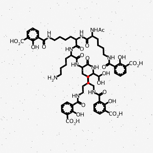 CC(=O)NC(CCCCNC(=O)c1cccc(C(=O)O)c1O)C(=O)NC(CCCCNC(=O)c1cccc(C(=O)O)c1O)C(=O)NC(CCCCN)C(=O)NC(CCCCNC(=O)c1cccc(C(=O)O)c1O)C(=O)NC(CCCCNC(=O)c1cccc(C(=O)O)c1O)C(O)O